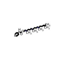 CC(C)=CCC/C(C)=C/CC/C(C)=C/CC/C(C)=C/COC(=O)Nc1ccncc1